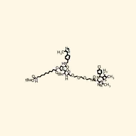 Cc1ncsc1-c1ccc(CNC(=O)[C@@H]2C[C@@H](OC(=O)CCCCCCCCCNC(=O)OC(C)(C)C)CN2C(=O)[C@@H](NC(=O)COCCOCCOCCNC(=O)C[C@@H]2N=C(c3ccc(Cl)cc3)c3c(sc(C)c3C)-n3c(C)nnc32)C(C)(C)C)cc1